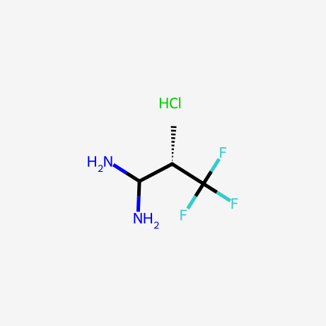 C[C@@H](C(N)N)C(F)(F)F.Cl